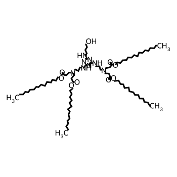 CCCCCCCCCCCCCCCCOC(=O)CCN(CCCNc1nc(NCCCCO)nc(NCCCN(CCC(=O)OCCCCCCCCCCCCCCCC)CCC(=O)OCCCCCCCCCCCCCCCC)n1)CCC(=O)OCCCCCCCCCCCCCCCC